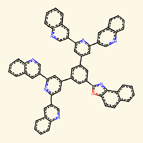 c1ccc2ncc(-c3cc(-c4cc(-c5cc(-c6cnc7ccccc7c6)nc(-c6cnc7ccccc7c6)c5)cc(-c5nc6c(ccc7ccccc76)o5)c4)cc(-c4cnc5ccccc5c4)n3)cc2c1